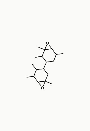 CC1CC(C2CC3(C)OC3C(C)C2C)C(C)C2(C)OC12